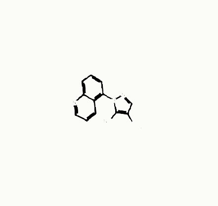 CCOC(=O)c1cnn(-c2cccc3ncccc23)c1C#N